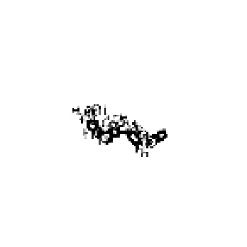 CC(C)N1c2nc(NC3CCC(N(C)C)C(F)C3)ncc2C=C(c2cc(F)c(NS(=O)(=O)Cc3ccccc3)c(F)c2F)C1O